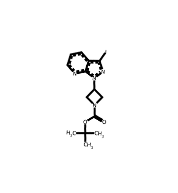 CC(C)(C)OC(=O)N1CC(n2nc(I)c3cccnc32)C1